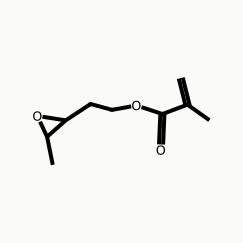 C=C(C)C(=O)OCCC1OC1C